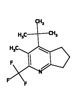 Cc1c(C(F)(F)F)nc2c(c1C(C)(C)C)CCC2